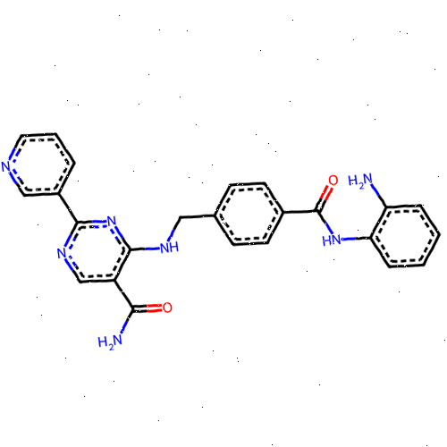 NC(=O)c1cnc(-c2cccnc2)nc1NCc1ccc(C(=O)Nc2ccccc2N)cc1